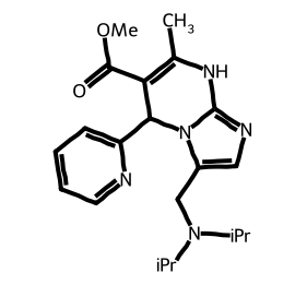 COC(=O)C1=C(C)Nc2ncc(CN(C(C)C)C(C)C)n2C1c1ccccn1